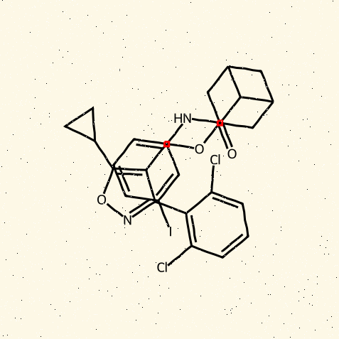 O=C(Nc1cccc(I)c1)C1C2CC(OCc3c(-c4c(Cl)cccc4Cl)noc3C3CC3)CC1C2